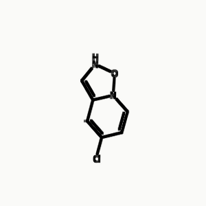 ClC1=[C]C2=CNON2C=C1